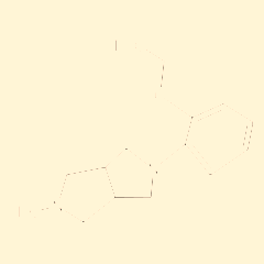 CCOc1ccccc1N1CC2CN(C)CC2C1